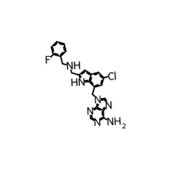 Nc1ncnc2c1ncn2Cc1cc(Cl)cc2cc(CNCc3ccccc3F)[nH]c12